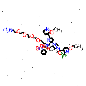 CCOc1ccc(C(=O)N2CCN(c3ccc(-c4cccnc4OCC)nc3CN(CCCOCCOCCOCCOCCN)S(=O)(=O)c3ccccc3[N+](=O)[O-])[C@H](CC)C2)c(C(F)(F)F)n1